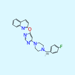 C[C@@H](c1ccc(F)cc1)N1CCN(c2cc(Oc3ccc4ccccc4n3)ncn2)CC1